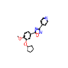 COc1ccc(-c2nc(-c3ccncc3)no2)cc1OC1CCCC1